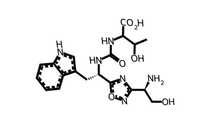 CC(O)C(NC(=O)N[C@@H](Cc1c[nH]c2ccccc12)c1nc([C@@H](N)CO)no1)C(=O)O